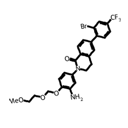 COCCOCOc1ccc(N2CCc3cc(-c4ccc(C(F)(F)F)cc4Br)ccc3C2=O)cc1N